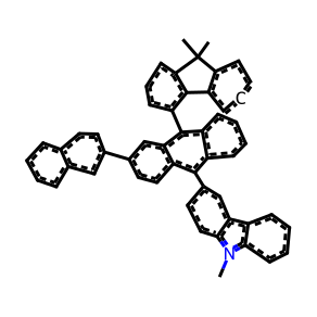 Cn1c2ccccc2c2cc(-c3c4ccccc4c(-c4cccc5c4-c4ccccc4C5(C)C)c4cc(-c5ccc6ccccc6c5)ccc34)ccc21